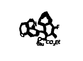 CCOC(=O)[C@@H](OC(C)(C)C)c1c(C)c(F)c2ccccc2c1-c1ccc2c3c(ccnc13)CCO2